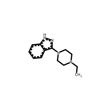 CCN1CCN(c2n[nH]c3ccccc23)CC1